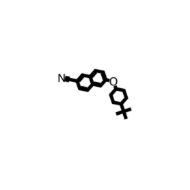 CC(C)(C)C1CCC(Oc2ccc3cc(C#N)ccc3c2)CC1